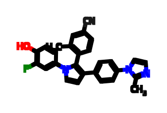 Cc1cc(C#N)ccc1-c1c(-c2ccc(-n3ccnc3C)cc2)ccn1-c1ccc(O)c(F)c1